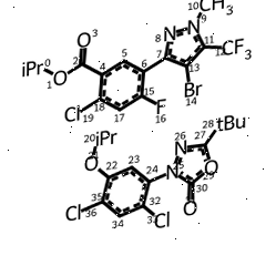 CC(C)OC(=O)c1cc(-c2nn(C)c(C(F)(F)F)c2Br)c(F)cc1Cl.CC(C)Oc1cc(-n2nc(C(C)(C)C)oc2=O)c(Cl)cc1Cl